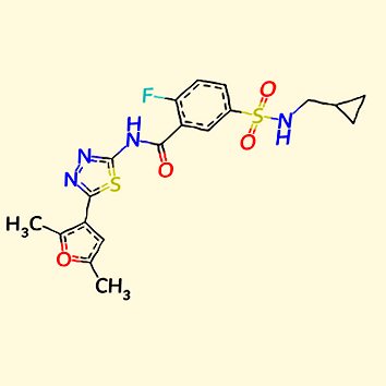 Cc1cc(-c2nnc(NC(=O)c3cc(S(=O)(=O)NCC4CC4)ccc3F)s2)c(C)o1